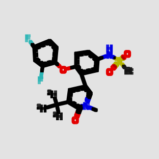 [2H]C([2H])([2H])c1cc(-c2cc(NS(=O)(=O)CC)ccc2Oc2ccc(F)cc2F)cn(C)c1=O